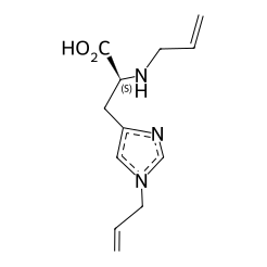 C=CCN[C@@H](Cc1cn(CC=C)cn1)C(=O)O